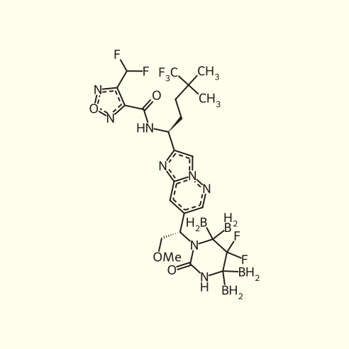 BC1(B)NC(=O)N([C@H](COC)c2cnn3cc([C@H](CCC(C)(C)C(F)(F)F)NC(=O)c4nonc4C(F)F)nc3c2)C(B)(B)C1(F)F